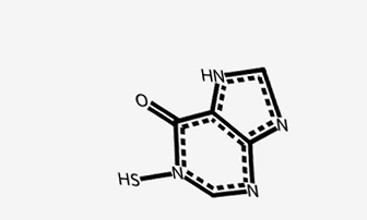 O=c1c2[nH]cnc2ncn1S